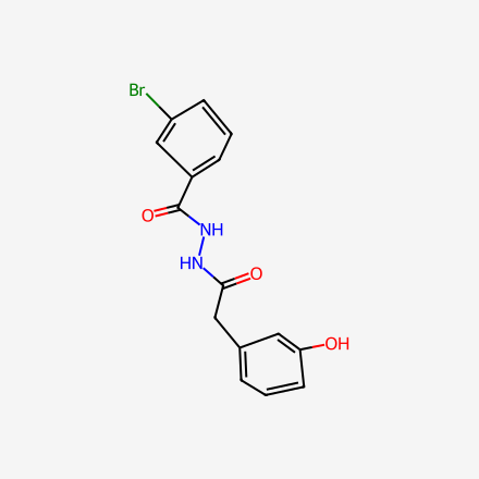 O=C(Cc1cccc(O)c1)NNC(=O)c1cccc(Br)c1